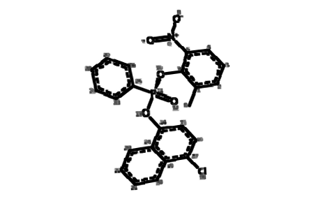 Cc1cccc([N+](=O)[O-])c1O[P@@](=O)(Oc1ccc(Cl)c2ccccc12)c1ccccc1